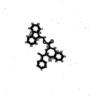 CC(c1ccccc1)N1CC(C(=O)OCC2c3ccccc3-c3ccccc32)Cc2ccccc2N1